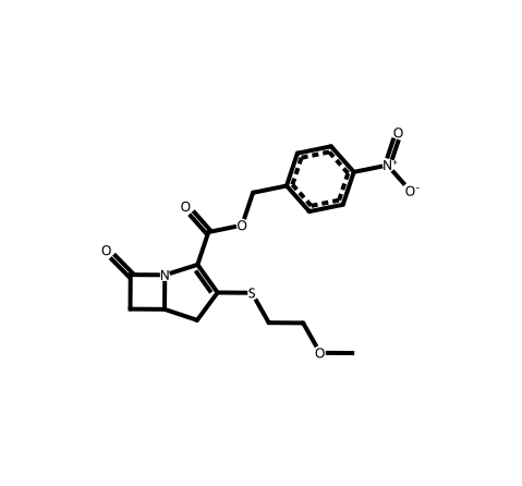 COCCSC1=C(C(=O)OCc2ccc([N+](=O)[O-])cc2)N2C(=O)CC2C1